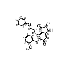 COc1ccccc1Cn1c(CCCOc2ccccc2)c2c(=O)n(C)[nH]c2cc1=O